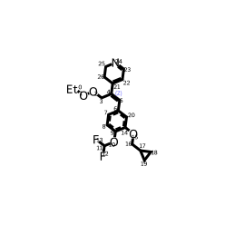 CCOOC/C(=C\c1ccc(OC(F)F)c(OCC2CC2)c1)C1=CC=NCC1